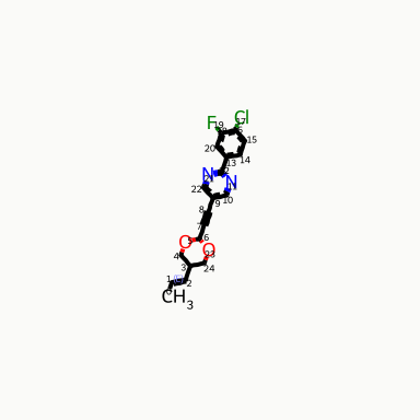 C/C=C/C1COC(C#Cc2cnc(-c3ccc(Cl)c(F)c3)nc2)OC1